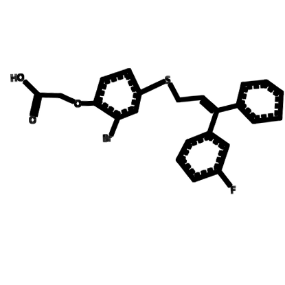 O=C(O)COc1ccc(SCC=C(c2ccccc2)c2cccc(F)c2)cc1Br